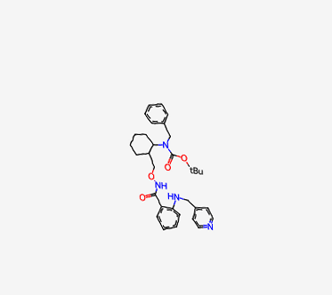 CC(C)(C)OC(=O)N(Cc1ccccc1)C1CCCCC1CONC(=O)c1ccccc1NCc1ccncc1